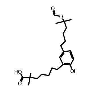 CC(C)(CCCCc1ccc(O)c(CCCCCC(C)(C)C(=O)O)c1)OC=O